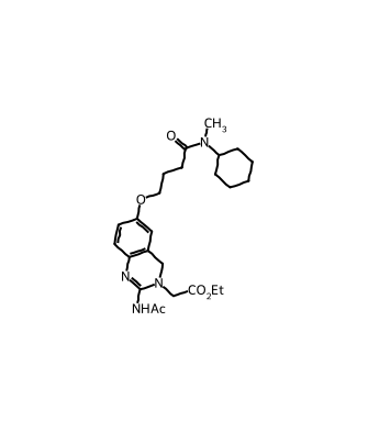 CCOC(=O)CN1Cc2cc(OCCCC(=O)N(C)C3CCCCC3)ccc2N=C1NC(C)=O